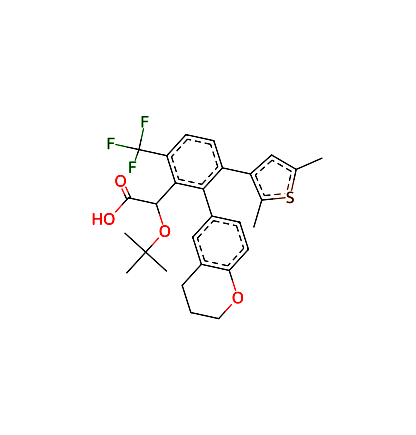 Cc1cc(-c2ccc(C(F)(F)F)c(C(OC(C)(C)C)C(=O)O)c2-c2ccc3c(c2)CCCO3)c(C)s1